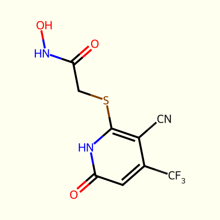 N#Cc1c(C(F)(F)F)cc(=O)[nH]c1SCC(=O)NO